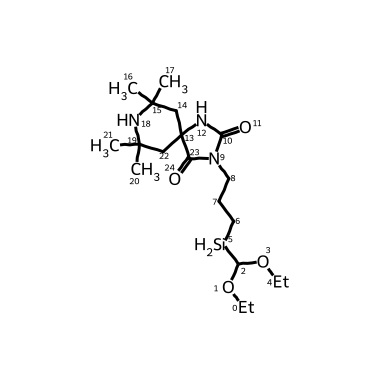 CCOC(OCC)[SiH2]CCCN1C(=O)NC2(CC(C)(C)NC(C)(C)C2)C1=O